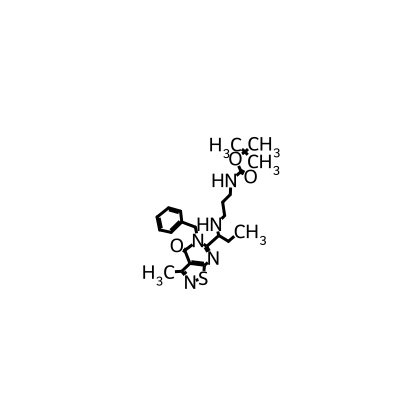 CCC(NCCCNC(=O)OC(C)(C)C)c1nc2snc(C)c2c(=O)n1Cc1ccccc1